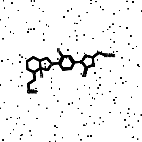 COCCN1CCCC2CN(c3ccc(N4CC(CNC(C)=O)OC4=O)cc3F)C[C@@H]21